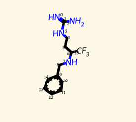 N=C(N)NCCC(NCc1ccccc1)C(F)(F)F